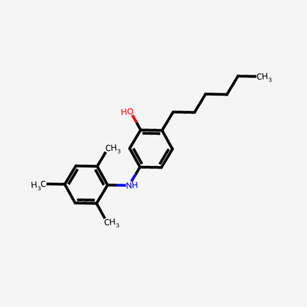 CCCCCCc1ccc(Nc2c(C)cc(C)cc2C)cc1O